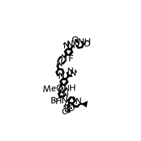 COc1cc(N2CCC(CN3CCN(c4cc5c(cc4F)c(N4CCC(=O)NC4=O)nn5C)CC3)CC2)c(-c2cnn(C)c2)cc1Nc1ncc(Br)c(Nc2ccc3nc(C4CC4)ccc3c2N(C)S(C)(=O)=O)n1